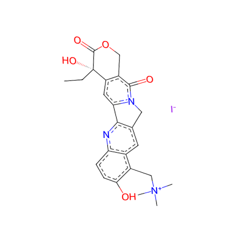 CC[C@@]1(O)C(=O)OCc2c1cc1n(c2=O)Cc2cc3c(C[N+](C)(C)C)c(O)ccc3nc2-1.[I-]